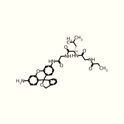 CCC(=O)NCC(=O)N[C@@H](CC(C)C)C(=O)NCC(=O)Nc1ccc2c(c1)Oc1cc(N)ccc1C21OCc2ccccc21